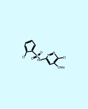 COc1cc(NS(=O)(=O)c2ccccc2Cl)nnc1Cl